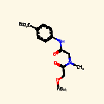 CCCCCCCCOCC(=O)N(C)CC(=O)Nc1ccc(C(=O)OCC)cc1